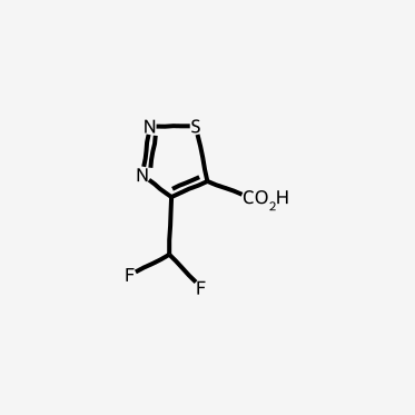 O=C(O)c1snnc1C(F)F